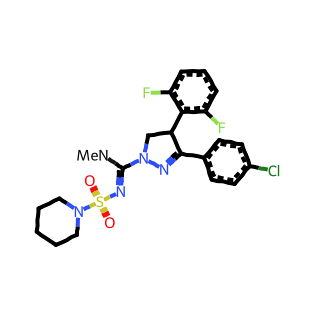 CN/C(=N\S(=O)(=O)N1CCCCC1)N1CC(c2c(F)cccc2F)C(c2ccc(Cl)cc2)=N1